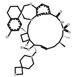 CCO[C@]1(CN2CCC3(CC2)COC3)/C=C/C[C@H](C)[C@@H](C)S(=O)(=O)NC(=O)c2ccc3c(c2)N(C[C@@H]2CC[C@H]21)C[C@@]1(CCCc2cc(Cl)ccc21)CO3